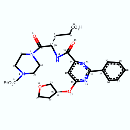 CCOC(=O)N1CCN(C(=O)[C@H](CCC(=O)O)NC(=O)c2cc(O[C@H]3CCOC3)nc(-c3ccccc3)n2)CC1